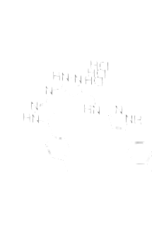 Cc1ccc(-c2cc(NCc3cc(N(C)c4cc(-c5ccc(C)cc5)[nH]n4)[nH]n3)n[nH]2)cc1.Cl.Cl.Cl